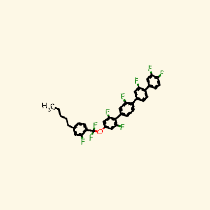 CCCCCc1ccc(C(F)(F)Oc2cc(F)c(-c3ccc(-c4ccc(-c5ccc(F)c(F)c5)c(F)c4)c(F)c3)c(F)c2)c(F)c1